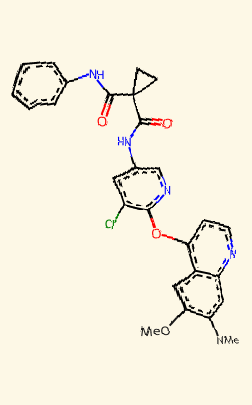 CNc1cc2nccc(Oc3ncc(NC(=O)C4(C(=O)Nc5ccccc5)CC4)cc3Cl)c2cc1OC